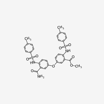 COC(=O)c1cc(Oc2ccc(NS(=O)(=O)c3ccc(C)cc3)c(C(N)=O)c2)ccc1NS(=O)(=O)c1ccc(C)cc1